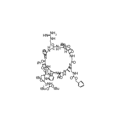 C=C1NC(CO)C(=O)N[C@H](c2ccccc2)[C@H](NC(=O)[C@H](CC(C)(C)C)NC(=O)[C@@H](CC(C)(C)C)NC(=O)OC(C)(C)C)C(=O)N[C@@H]([C@H](O)C(C)C)C(=O)N[C@@H](CC(C)C)C(=O)N[C@H](CCCNC(=N)N)C(=O)N[C@@H]([C@@H](C)CC)C(=O)N[C@@H]([C@H](C)O)C(=O)NCC(=O)N[C@H]1CCNC(=O)OCc1ccccc1